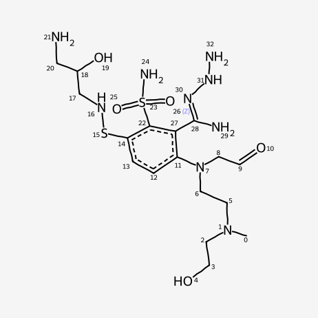 CN(CCO)CCN(CC=O)c1ccc(SNCC(O)CN)c(S(N)(=O)=O)c1/C(N)=N/NN